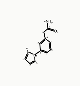 NC(=O)Cc1cccc(-n2cccn2)c1